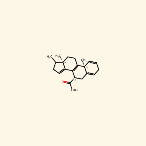 CC(C)COC(=O)[C@@H]1CC2=CCC=C[C@]2(C)C2=C1C1=CCC(C)[C@@]1(C)CC2